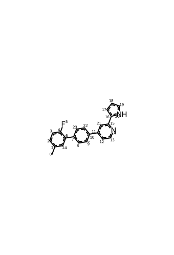 Cc1ccc(F)c(-c2c[c]c(-c3ccnc(-c4ccc[nH]4)c3)cc2)c1